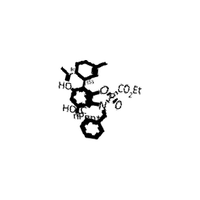 C=C(C)[C@@H]1CCC(C)=C[C@H]1c1c(O)cc(CCCCC)cc1OP(=O)(C(=O)OCC)N(Cc1ccccc1)C(C)C(=O)O